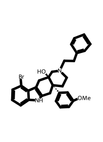 COc1cccc([C@@]23CCN(CCc4ccccc4)C[C@@]2(O)Cc2c([nH]c4cccc(Br)c24)C3)c1